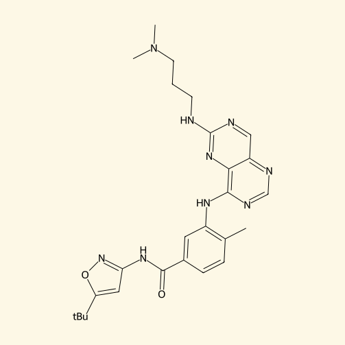 Cc1ccc(C(=O)Nc2cc(C(C)(C)C)on2)cc1Nc1ncnc2cnc(NCCCN(C)C)nc12